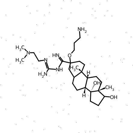 CN(C)CCN=C(N)NC(=N)C1(OCCCN)CC[C@@]2(C)C(CC[C@@H]3[C@H]2CC[C@]2(C)C(O)CC[C@@]32O)C1